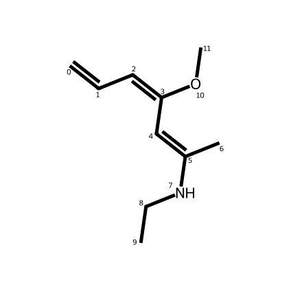 C=C/C=C(\C=C(/C)NCC)OC